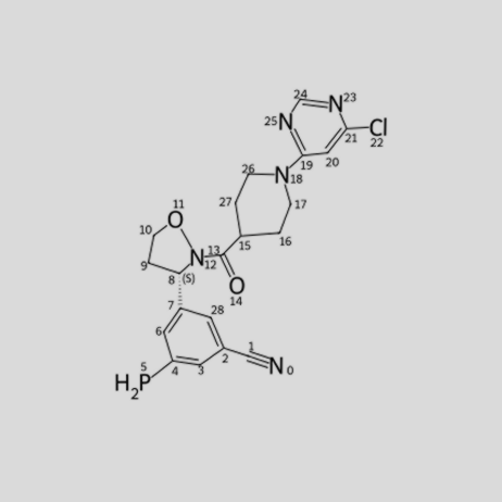 N#Cc1cc(P)cc([C@@H]2CCON2C(=O)C2CCN(c3cc(Cl)ncn3)CC2)c1